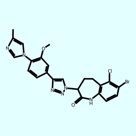 COc1cc(-c2cn(C3CCc4c(ccc(Br)c4Cl)NC3=O)nn2)ccc1-n1cnc(C)c1